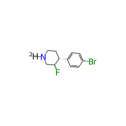 [2H]N1CC[C@H](c2ccc(Br)cc2)[C@@H](F)C1